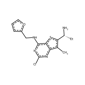 CC[C@@H](N)c1sc2c(NCc3ccco3)nc(Cl)nc2c1C